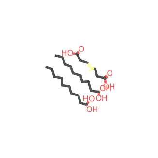 CCCCCCCCCC(O)O.CCCCCCCCCC(O)O.O=C(O)CCSCCC(=O)O